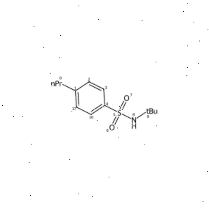 CCCc1ccc(S(=O)(=O)NC(C)(C)C)cc1